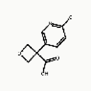 O=C(O)C1(c2ccc(Cl)nc2)COC1